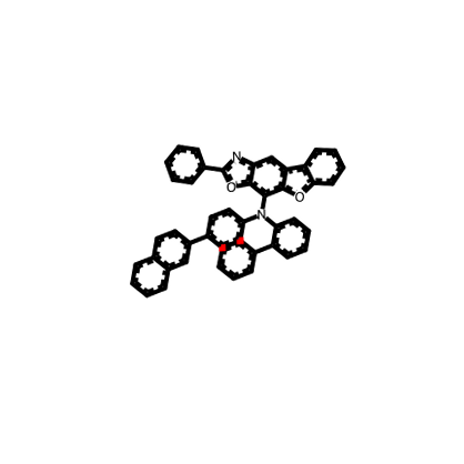 c1ccc(-c2nc3cc4c(oc5ccccc54)c(N(c4ccc(-c5ccc6ccccc6c5)cc4)c4ccccc4-c4ccccc4)c3o2)cc1